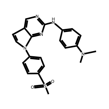 CN(C)c1ccc(Nc2ncc3ccn(-c4ccc(S(C)(=O)=O)cc4)c3n2)cc1